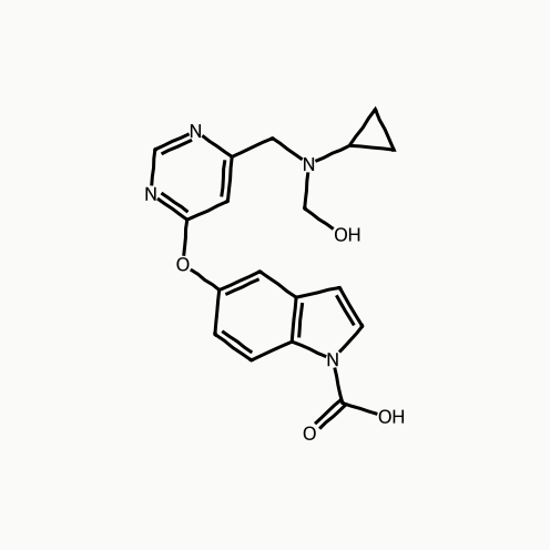 O=C(O)n1ccc2cc(Oc3cc(CN(CO)C4CC4)ncn3)ccc21